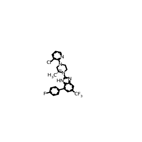 C[C@@H]1CN(c2ncccc2Cl)CCN1c1nc2cc(C(F)(F)F)cc(-c3ccc(F)cc3)c2[nH]1